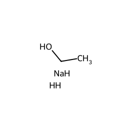 CCO.[HH].[NaH]